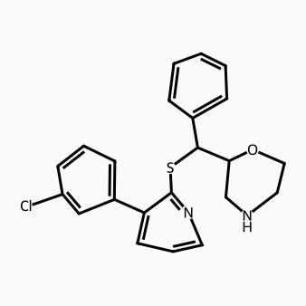 Clc1cccc(-c2cccnc2SC(c2ccccc2)C2CNCCO2)c1